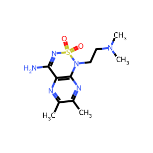 Cc1nc2c(nc1C)N(CCN(C)C)S(=O)(=O)N=C2N